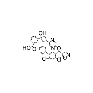 O=C(O)c1cccc(C2(O)CC(c3cnc(OC(c4cnoc4)c4cc(-c5ccccc5)c(Cl)cc4Cl)cn3)C2)c1